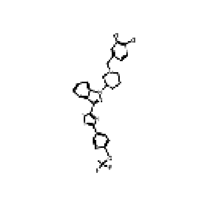 FC(F)(F)Oc1ccc(-c2noc(-c3nn(C4CCCN(Cc5ccc(Cl)c(Cl)c5)C4)c4ccccc34)n2)cc1